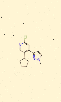 Cn1ccc(-c2cc(Cl)ncc2C2CCCC2)n1